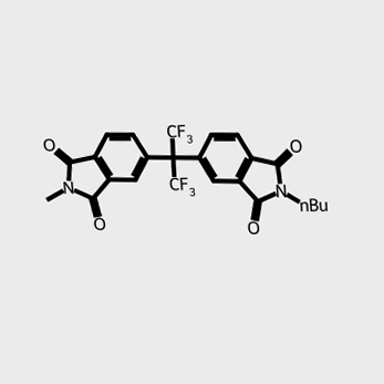 CCCCN1C(=O)c2ccc(C(c3ccc4c(c3)C(=O)N(C)C4=O)(C(F)(F)F)C(F)(F)F)cc2C1=O